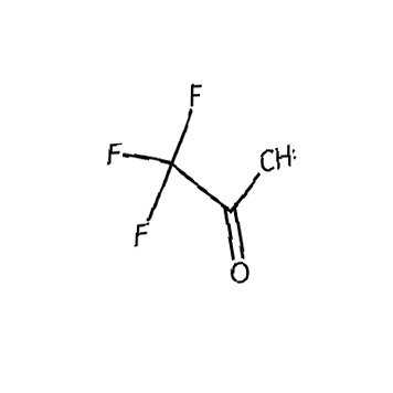 [CH]C(=O)C(F)(F)F